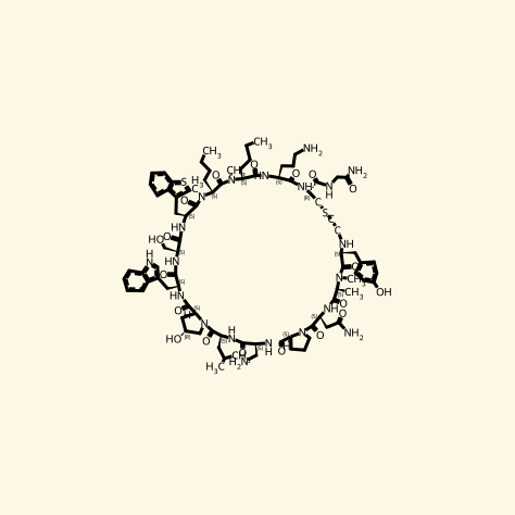 CCCC[C@H]1C(=O)N(C)[C@@H](CCCC)C(=O)N[C@@H](CCCN)C(=O)N[C@H](C(=O)NCC(N)=O)CSCCN[C@@H](Cc2ccc(O)cc2)C(=O)N(C)[C@@H](C)C(=O)N[C@@H](CC(N)=O)C(=O)N2CCC[C@H]2C(=O)N[C@@H](CN)C(=O)N[C@@H](CC(C)C)C(=O)N2C[C@H](O)C[C@H]2C(=O)N[C@@H](Cc2c[nH]c3ccccc23)C(=O)N[C@@H](CO)C(=O)N[C@@H](Cc2csc3ccccc23)C(=O)N1C